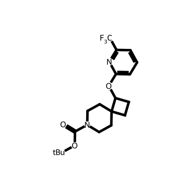 CC(C)(C)OC(=O)N1CCC2(CCC2Oc2cccc(C(F)(F)F)n2)CC1